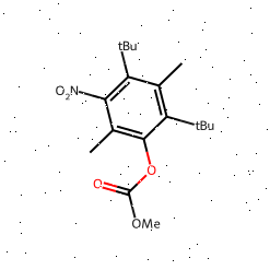 COC(=O)Oc1c(C)c([N+](=O)[O-])c(C(C)(C)C)c(C)c1C(C)(C)C